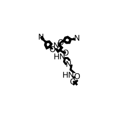 CC(C)(C)OC(=O)NCCCN1CCC(NC(=O)c2cc(Oc3ccc(C#N)cc3)nc(Oc3ccc(C#N)cc3)c2)CC1